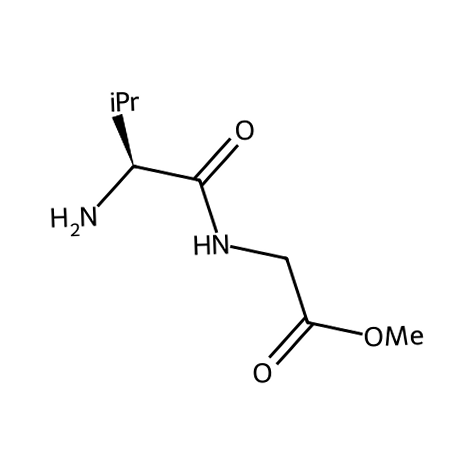 COC(=O)CNC(=O)[C@@H](N)C(C)C